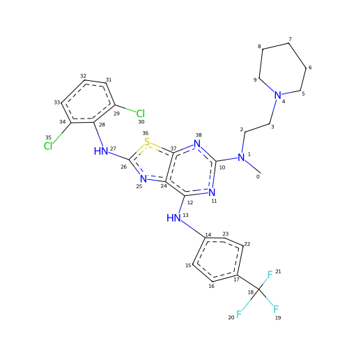 CN(CCN1CCCCC1)c1nc(Nc2ccc(C(F)(F)F)cc2)c2nc(Nc3c(Cl)cccc3Cl)sc2n1